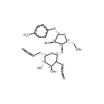 CC(=O)OC[C@H]1O[C@@H](Sc2ccc(C)cc2)[C@H](OC(C)=O)[C@@H]1O[C@H]1O[C@@H](CN=[N+]=[N-])[C@@H](O)[C@H](OC(C)=O)C1N=[N+]=[N-]